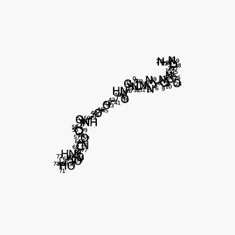 C[C@@H]1CN(c2ncc(-c3ccc4c(n3)N(Cc3cccnc3C#N)C(C)(C)C4=O)cn2)CCN1C(=O)CNC(=O)CCCCOCCOCCCNC(=O)c1cccc(Oc2ccc(C(=O)N[C@@H](CCC(C)(C)C)C(=O)O)cn2)c1